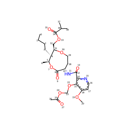 CCCC[C@H]1[C@H](C)OC(=O)[C@@H](NC(=O)c2nccc(OC)c2OCOC(C)=O)CCO[C@@H]1COC(=O)C(C)C